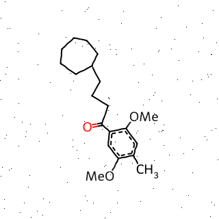 COc1cc(C(=O)CCCC2CCCCCC2)c(OC)cc1C